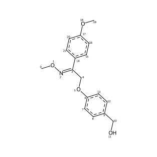 CON=C(COc1ccc(CO)cc1)c1ccc(OC)cc1